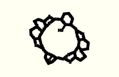 Oc1c2cccc1c1nc3c(ccc4ccc5sc(nc5c43)c3cccc(c3O)c3nc4c(ccc5ccc6sc2nc6c54)s3)s1